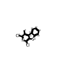 Cc1c(Cl)nc(Cl)c2sc3ccccc3c12